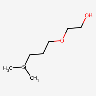 C[Si](C)CCCOCCO